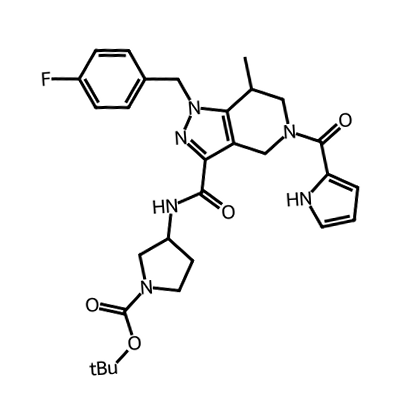 CC1CN(C(=O)c2ccc[nH]2)Cc2c(C(=O)NC3CCN(C(=O)OC(C)(C)C)C3)nn(Cc3ccc(F)cc3)c21